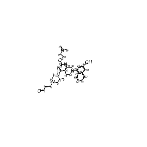 C[C@H]1CN(C=CC=O)CCN1c1nc(OCCN(C)C)nc2c1CCN(c1cc(O)cc3ccccc13)C2